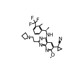 COc1nc2nc(CCN3CCC3)nc(N[C@H](C)c3cccc(C(F)(F)F)c3C)c2cc1C1(C#N)CC1